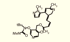 C=C(/C=C\C=C1/CN=C(C)C=C1c1ccnn1C)OCc1c(Cl)cncc1ON(C(=O)NC)C(C)(C)C